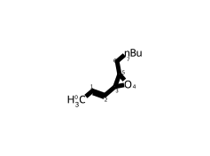 C/C=C/C1OC1CCCCC